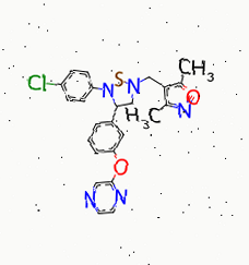 Cc1noc(C)c1CN1CC(c2cccc(Oc3cnccn3)c2)N(c2ccc(Cl)cc2)S1